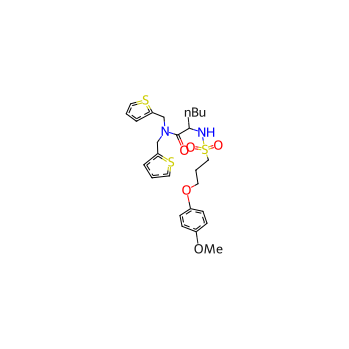 CCCCC(NS(=O)(=O)CCCOc1ccc(OC)cc1)C(=O)N(Cc1cccs1)Cc1cccs1